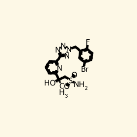 C[C@](O)(CS(N)(=O)=O)c1cccc(-c2nnn(Cc3cc(Br)ccc3F)n2)n1